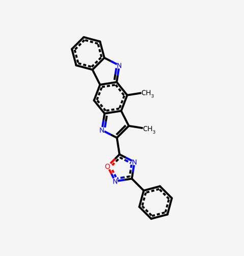 CC1=C(c2nc(-c3ccccc3)no2)N=c2cc3c(c(C)c21)=Nc1ccccc1-3